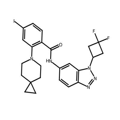 O=C(Nc1ccc2nnn(C3CC(F)(F)C3)c2c1)c1ccc(I)cc1N1CCC2(CC1)CC2